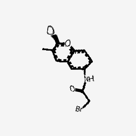 Cc1cc2cc(NC(=O)CBr)ccc2oc1=O